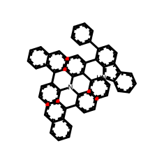 c1ccc(-c2ccc3c([nH]c4ccccc43)c2-c2cccc(N(c3ccccc3-c3cccc4ccccc34)c3ccccc3-c3cccc4ccccc34)c2-c2ccccc2)cc1